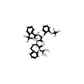 CC(C)N1C(=O)[C@H](NC(=O)[C@@H](Cc2ccccc2OC(F)(F)F)NC(=O)c2ccccc2C(F)(F)F)CCc2ccccc21